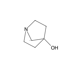 OC12[CH]N(CC1)CC2